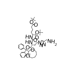 CC(C)(C)OC(=O)CCCC(NC(=O)N[C@@H](CCn1cc(CN)nn1)C(=O)OC(c1ccccc1)(c1ccccc1Cl)C1CCCCCCCC1)C(=O)OC(C)(C)C